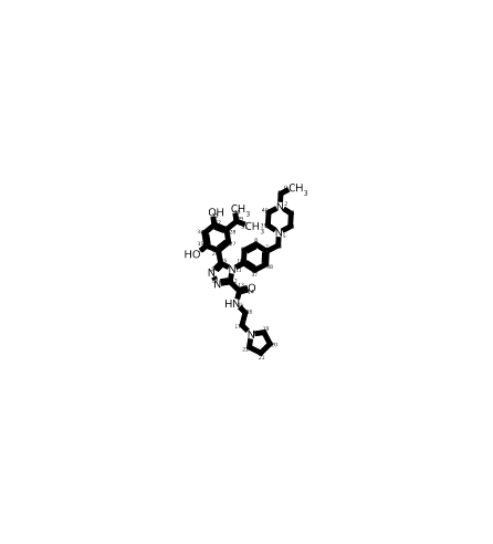 CCN1CCN(Cc2ccc(-n3c(C(=O)NCCN4CCCC4)nnc3-c3cc(C(C)C)c(O)cc3O)cc2)CC1